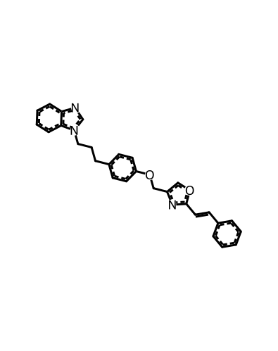 C(=C\c1nc(COc2ccc(CCCn3cnc4ccccc43)cc2)co1)/c1ccccc1